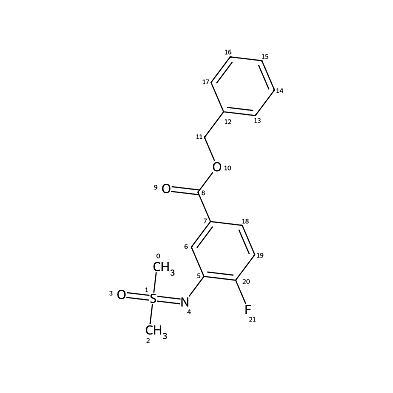 CS(C)(=O)=Nc1cc(C(=O)OCc2ccccc2)ccc1F